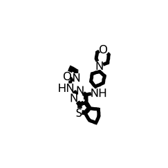 c1coc(Nc2nc(N[C@H]3CC[C@H](N4CCOCC4)CC3)c3c4c(sc3n2)CCCC4)n1